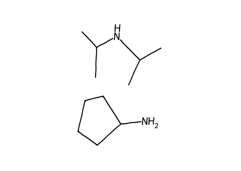 CC(C)NC(C)C.NC1CCCC1